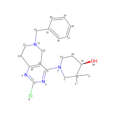 CC1(C)CN(c2nc(Cl)nc3c2CN(Cc2ccccc2)CC3)CC[C@H]1O